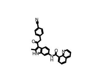 Cc1[nH]c2cc(NC(=O)c3cccc4cccnc34)ccc2c1C(=O)Cc1ccc(C#N)cc1